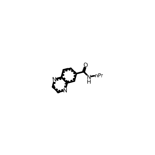 CCCNC(=O)c1ccc2nccnc2c1